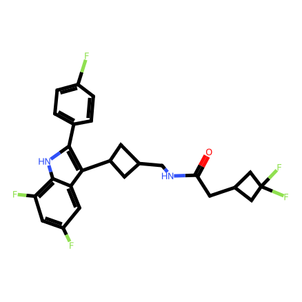 O=C(CC1CC(F)(F)C1)NCC1CC(c2c(-c3ccc(F)cc3)[nH]c3c(F)cc(F)cc23)C1